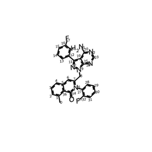 Cc1cccc2cc(Cn3nc(-c4cccc(F)c4)c4c(N)ncnc43)n(-c3ccccc3F)c(=O)c12